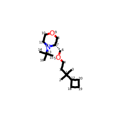 CC(C)(CCOC[C@H]1COCCN1C(C)(C)C)C1CCC1